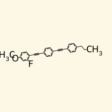 CCCc1ccc(C#Cc2ccc(C#Cc3ccc(OC)cc3F)cc2)cc1